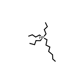 CCCCCCC[PH](CCCC)(CCCC)CCCC